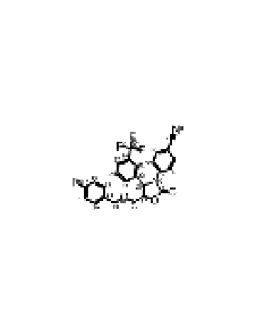 N#Cc1ccc(N2C(=O)O[C@@H](COCc3ccc(F)cc3)[C@@H]2c2cccc(C(F)(F)F)c2)cc1